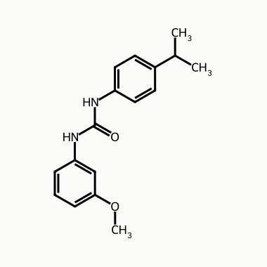 COc1cccc(NC(=O)Nc2ccc(C(C)C)cc2)c1